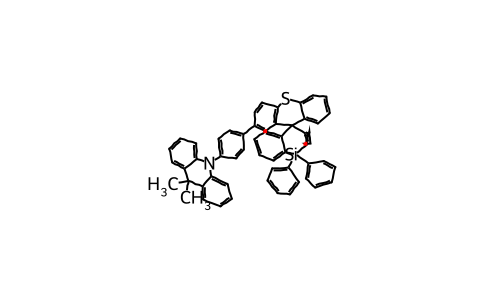 CC1(C)c2ccccc2N(c2ccc(-c3ccc4c(c3)C3(c5ccccc5S4)c4ccccc4[Si](c4ccccc4)(c4ccccc4)c4ccccc43)cc2)c2ccccc21